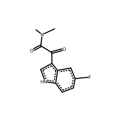 CN(C)C(=O)C(=O)c1c[nH]c2ccc(F)cc12